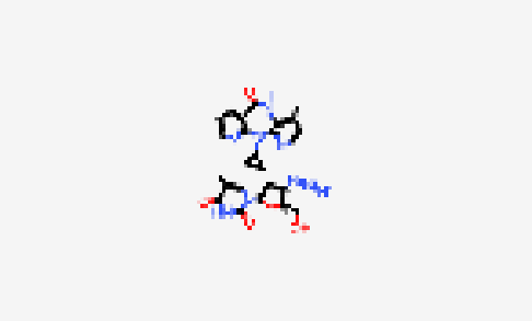 Cc1ccnc2c1NC(=O)c1cccnc1N2C1CC1.Cc1cn([C@H]2C[C@H](N=[N+]=[N-])[C@@H](CO)O2)c(=O)[nH]c1=O